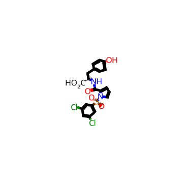 O=C(N[C@@H](Cc1ccc(O)cc1)C(=O)O)c1cccn1S(=O)(=O)c1cc(Cl)cc(Cl)c1